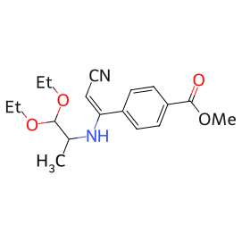 CCOC(OCC)C(C)NC(=CC#N)c1ccc(C(=O)OC)cc1